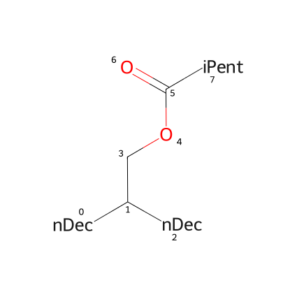 CCCCCCCCCCC(CCCCCCCCCC)COC(=O)C(C)CCC